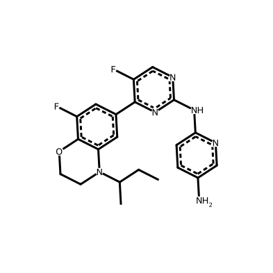 CCC(C)N1CCOc2c(F)cc(-c3nc(Nc4ccc(N)cn4)ncc3F)cc21